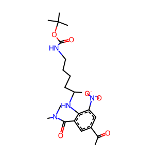 CC(=O)c1cc(C(=O)N(C)C)c(NC(C)CCCCNC(=O)OC(C)(C)C)c([N+](=O)[O-])c1